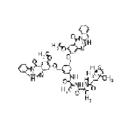 COc1cc2c(cc1OCc1cc(COc3cc4c(cc3OC)C(=O)N3c5ccccc5C[C@H]3C=N4)cc(NC(=O)[C@@H](C)NC(=O)[C@H](C)NC(=O)CCC(C)(C)SC)c1)N=C[C@@H]1Cc3ccccc3N1C2=O